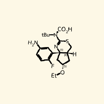 CCO[C@H]1C[C@H]2CSC(N(C(=O)O)C(C)(C)C)=N[C@@]2(c2cc(N)ccc2F)C1